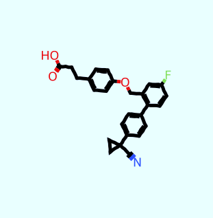 N#CC1(c2ccc(-c3ccc(F)cc3COc3ccc(CCC(=O)O)cc3)cc2)CC1